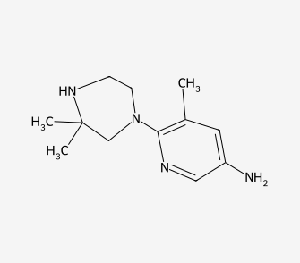 Cc1cc(N)cnc1N1CCNC(C)(C)C1